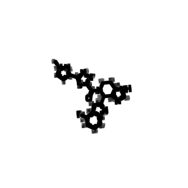 Cn1ccc(-c2nnc(C(=O)N3CCc4[nH]cnc4[C@H]3c3cc4c(F)cccn4n3)s2)n1